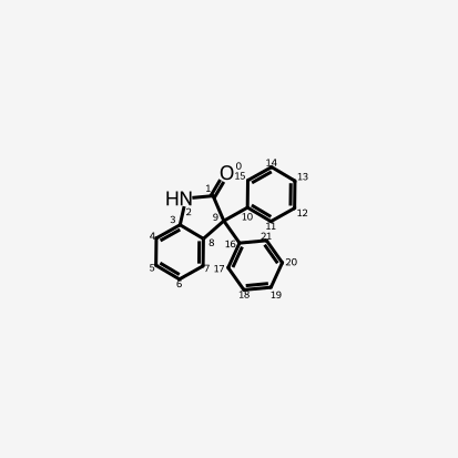 O=C1Nc2ccccc2C1(c1ccccc1)c1ccccc1